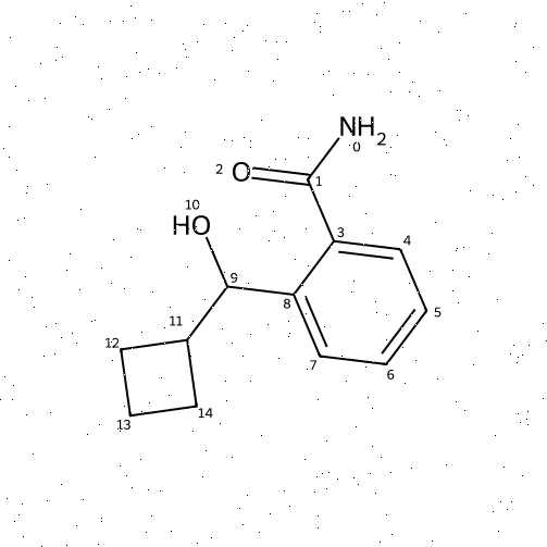 NC(=O)c1ccccc1C(O)C1CCC1